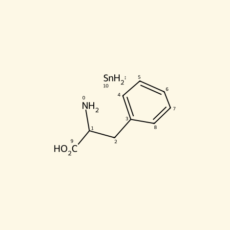 NC(Cc1ccccc1)C(=O)O.[SnH2]